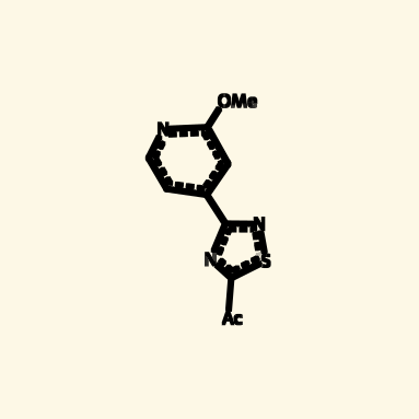 COc1cc(-c2nsc(C(C)=O)n2)ccn1